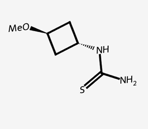 CO[C@H]1C[C@H](NC(N)=S)C1